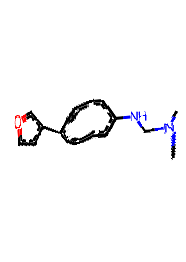 CN(C)CNc1ccc(-c2ccoc2)cc1